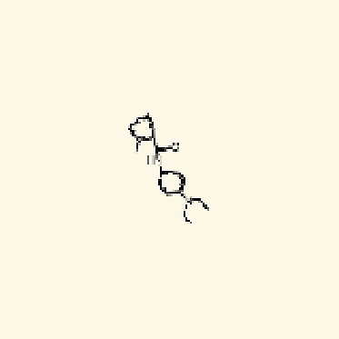 CCN(CC)c1ccc(NC(=O)c2ccccc2C)cc1